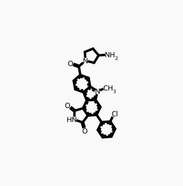 Cn1c2cc(C(=O)N3CCC(N)C3)ccc2c2c3c(c(-c4ccccc4Cl)cc21)C(=O)NC3=O